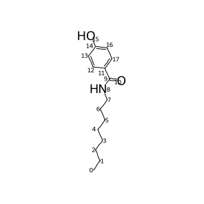 CCCCCCCCNC(=O)c1ccc(O)cc1